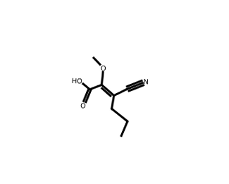 CCC/C(C#N)=C(/OC)C(=O)O